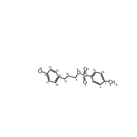 Cc1ccc(S(=O)(=O)OCCCc2ccc(Cl)cc2)cc1